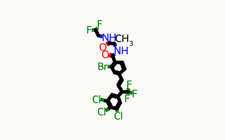 CC(NC(=O)c1ccc(/C=C/C(c2cc(Cl)c(Cl)c(Cl)c2)C(F)(F)F)cc1Br)C(=O)NCC(F)F